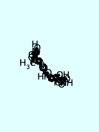 Cn1c(=O)n(C2CCC(=O)NC2=O)c2ccc(N3CCCC(CC(=O)Nc4ccc5c(F)c(N6CC(=O)NS6(=O)=O)c(O)cc5c4)CC3)cc21